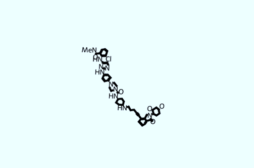 CNC(=O)c1ccccc1Nc1nc(Nc2ccc(N3CCN(C(=O)N[C@H]4CC[C@@H](NCCCC#Cc5cccc6c5CN(C5CCC(=O)CC5=O)C6=O)CC4)CC3)cc2)ncc1Cl